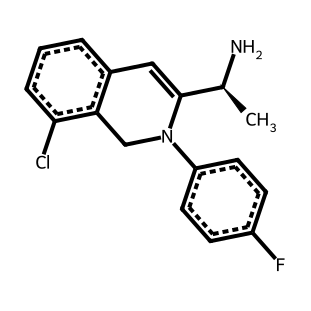 C[C@H](N)C1=Cc2cccc(Cl)c2CN1c1ccc(F)cc1